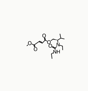 CCNC(=O)N(CC)[C@@H](COC(=O)/C=C/C(=O)OC)C(C)C